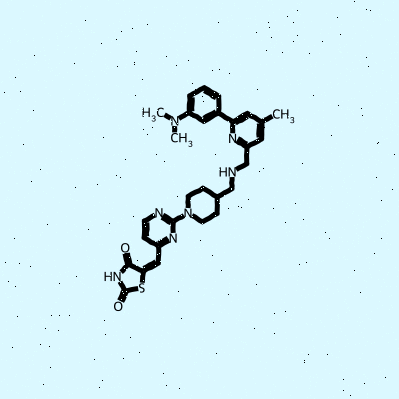 Cc1cc(CNCC2CCN(c3nccc(/C=C4/SC(=O)NC4=O)n3)CC2)nc(-c2cccc(N(C)C)c2)c1